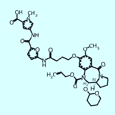 C=CCOC(=O)N1c2cc(OCCCC(=O)Nc3ccc(C(=O)Nc4cc(C(=O)O)n(C)c4)o3)c(OC)cc2C(=O)N2CCC[C@H]2[C@@H]1OC1CCCCO1